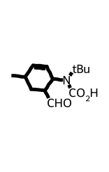 CC1C=CC(N(C(=O)O)C(C)(C)C)C(C=O)C1